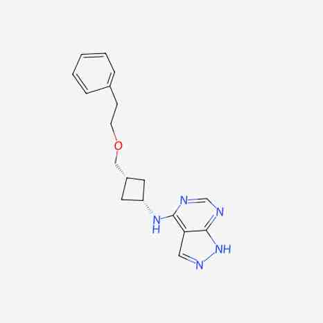 c1ccc(CCOC[C@H]2C[C@@H](Nc3ncnc4[nH]ncc34)C2)cc1